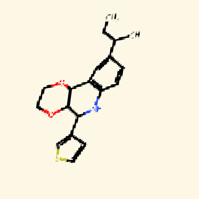 CCC(C)c1ccc2c(c1)C1OCCOC1C(c1ccsc1)N2